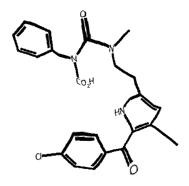 Cc1cc(CCN(C)C(=O)N(C(=O)O)c2ccccc2)[nH]c1C(=O)c1ccc(Cl)cc1